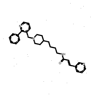 O=C(C=Cc1cccnc1)NCCCCC1CCN(Cc2cccnc2-c2ccccc2)CC1